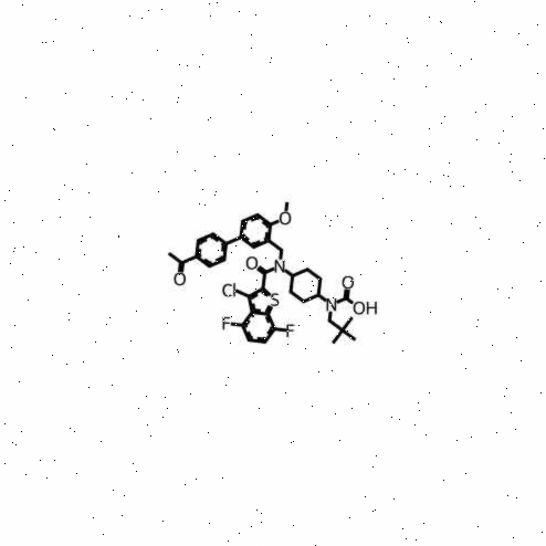 COc1ccc(-c2ccc(C(C)=O)cc2)cc1CN(C(=O)c1sc2c(F)ccc(F)c2c1Cl)C1CCC(N(CC(C)(C)C)C(=O)O)CC1